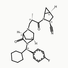 C[C@@H](CN1C[C@@H]2C[C@H]1C(=O)N2[C@@H](c1ccc(F)cc1)C1CCCCC1)C(=O)N1C2C[C@H]2C[C@H]1C#N